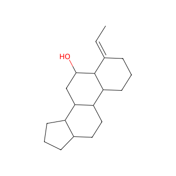 CC=C1CCCC2C3CCC4CCCC4C3CC(O)C12